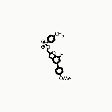 COc1ccc(-c2cc(F)c3c(c2)CC(COS(=O)(=O)c2ccc(C)cc2)O3)cc1